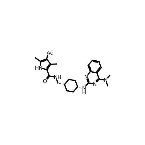 CC(=O)c1c(C)[nH]c(C(=O)NC[C@H]2CC[C@@H](Nc3nc(N(C)C)c4ccccc4n3)CC2)c1C